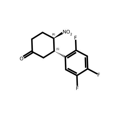 O=C1CC[C@@H]([N+](=O)[O-])[C@H](c2cc(F)c(F)cc2F)C1